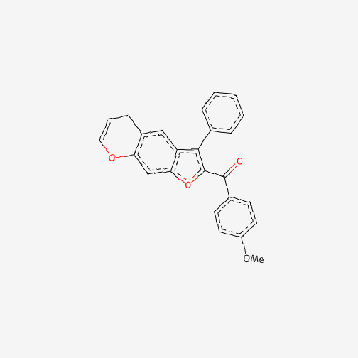 COc1ccc(C(=O)c2oc3cc4c(cc3c2-c2ccccc2)CC=CO4)cc1